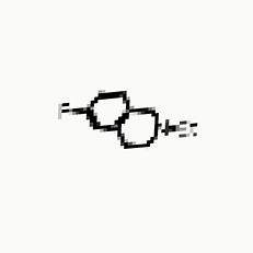 CCN1CCc2cc(F)ccc2C1